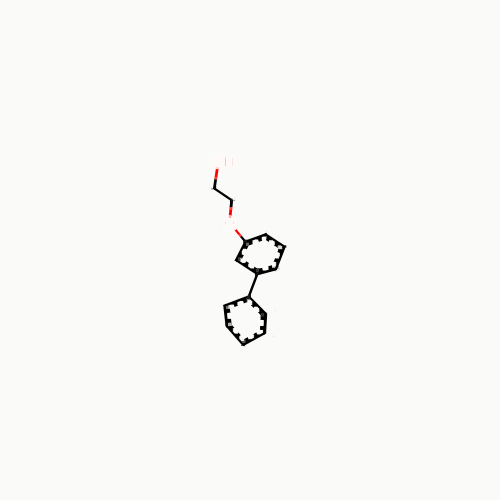 OCCOc1cc[c]c(-c2ccccc2)c1